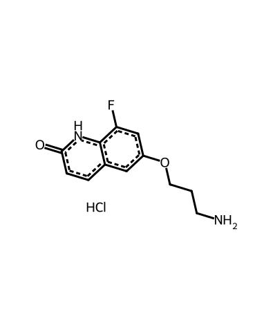 Cl.NCCCOc1cc(F)c2[nH]c(=O)ccc2c1